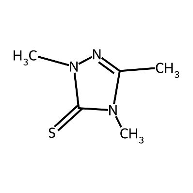 Cc1nn(C)c(=S)n1C